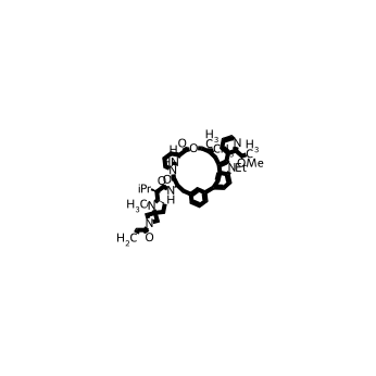 C=CC(=O)N1CC2(CC[C@@H]([C@H](C(=O)N[C@H]3Cc4cccc(c4)-c4ccc5c(c4)c(c(-c4cccnc4[C@H](C)OC)n5CC)CC(C)(C)COC(=O)[C@@H]4CCCN(N4)C3=O)C(C)C)N2C)C1